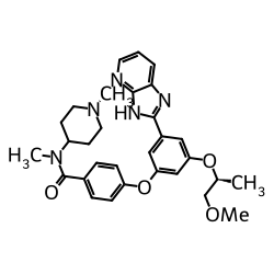 COC[C@H](C)Oc1cc(Oc2ccc(C(=O)N(C)C3CCN(C)CC3)cc2)cc(-c2nc3cccnc3[nH]2)c1